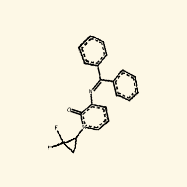 O=c1c(N=C(c2ccccc2)c2ccccc2)cccn1C1CC1(F)F